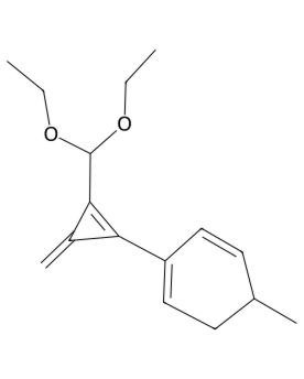 C=C1C(C2=CCC(C)C=C2)=C1C(OCC)OCC